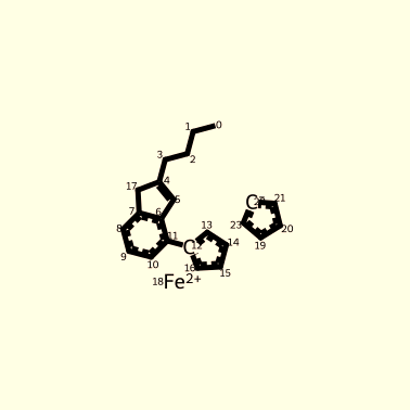 CCCCC1=Cc2c(cccc2-[c-]2cccc2)C1.[Fe+2].c1cc[cH-]c1